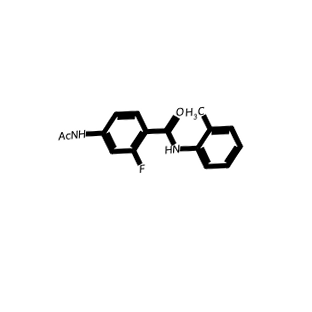 CC(=O)Nc1ccc(C(=O)Nc2ccccc2C)c(F)c1